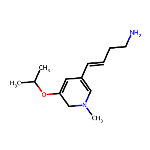 CC(C)OC1=CC(/C=C/CCN)=CN(C)C1